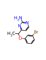 CC(Oc1cccc(Br)c1)c1ccnc(N)n1